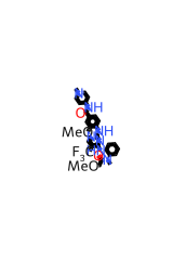 COCC(=O)N(C)[C@@H]1CCCC[C@H]1Nc1nc(Nc2ccc(C(=O)NC3CCN(C)CC3)cc2OC)ncc1C(F)(F)F